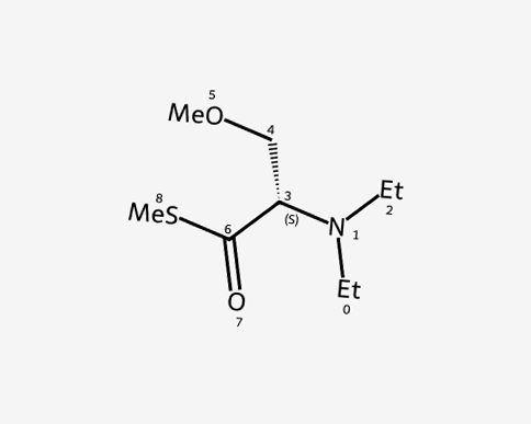 CCN(CC)[C@@H](COC)C(=O)SC